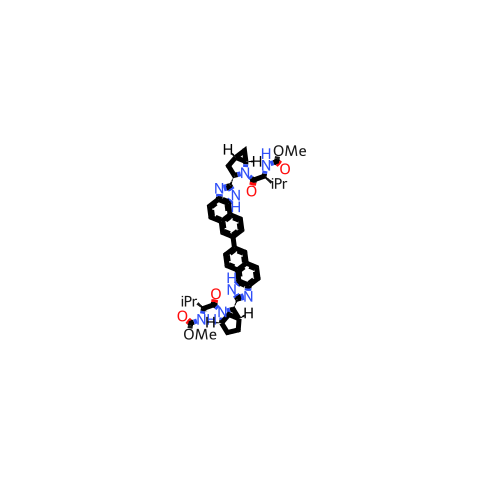 COC(=O)N[C@H](C(=O)N1[C@@H]2CC[C@@H](C2)[C@H]1c1nc2ccc3cc(-c4ccc5c(ccc6nc([C@@H]7C[C@H]8C[C@H]8N7C(=O)[C@@H](NC(=O)OC)C(C)C)[nH]c65)c4)ccc3c2[nH]1)C(C)C